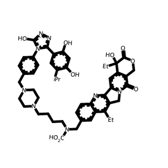 CCc1c2c(nc3ccc(CN(CCCCN4CCN(Cc5ccc(-n6c(O)nnc6-c6cc(C(C)C)c(O)cc6O)cc5)CC4)C(=O)O)cc13)-c1cc3c(c(=O)n1C2)COC(=O)C3(O)CC